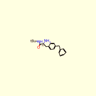 CC(C)(C)NC(=O)[C@@H](N)Cc1ccc(Cc2ccccc2)cc1